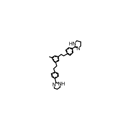 Cc1cc(CCc2ccc(C3=NCCCN3)cc2)cc(CCc2ccc(C3=NCCCN3)cc2)c1